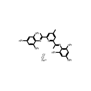 CCCc1cc(CCC)c(N=C(C)c2cc(C)cc(C(C)=Nc3c(CCC)cc(CCC)cc3CCC)n2)c(CCC)c1.[Cl-].[Cl-].[Fe+2]